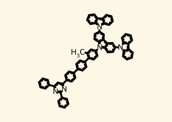 Cc1cc(-n2c3ccc(-n4c5ccccc5c5ccccc54)cc3c3cc(-n4c5ccccc5c5ccccc54)ccc32)ccc1-c1ccc(-c2ccc(-c3cc(-c4ccccc4)nc(-c4ccccc4)n3)cc2)cc1